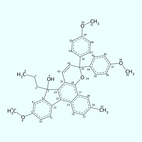 CCCC1(O)c2cc(OC)ccc2-c2c1c1c(c3cc(C)ccc23)OC(c2ccc(OC)cc2)(c2ccc(OC)cc2)C=C1